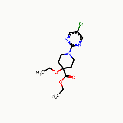 CCOC(=O)C1(OCC)CCN(c2ncc(Br)cn2)CC1